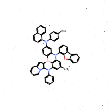 Cc1cc2c3c(c1)N(c1ccccc1)c1c(cc4ccccn14)B3c1ccc(N(c3ccc(C(C)(C)C)cc3)c3cccc4ccccc34)cc1N2c1cccc2c1oc1ccccc12